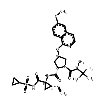 C=C[C@@H]1C[C@]1(NC(=O)[C@@H]1C[C@@H](Oc2nccc3cc(OC)ccc23)CN1C(=O)[C@@H](N)C(C)(C)C)C(=O)NS(=O)(=O)C1CC1